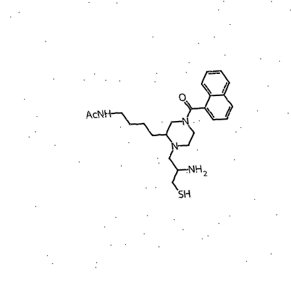 CC(=O)NCCCCC1CN(C(=O)c2cccc3ccccc23)CCN1CC(N)CS